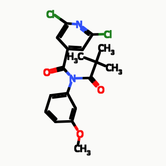 COc1cccc(N(C(=O)c2cc(Cl)nc(Cl)c2)C(=O)C(C)(C)C)c1